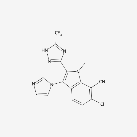 Cn1c(-c2n[nH]c(C(F)(F)F)n2)c(-n2ccnc2)c2ccc(Cl)c(C#N)c21